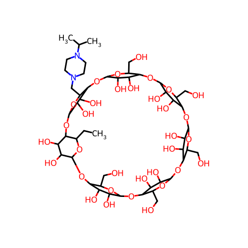 CCC1OC2OC3C(CO)OC(OC4C(CO)OC(OC5C(CO)OC(OC6C(CO)OC(OC7C(CO)OC(OC8C(CN9CCN(C(C)C)CC9)OC(OC1C(O)C2O)C(O)C8O)C(O)C7O)C(O)C6O)C(O)C5O)C(O)C4O)C(O)C3O